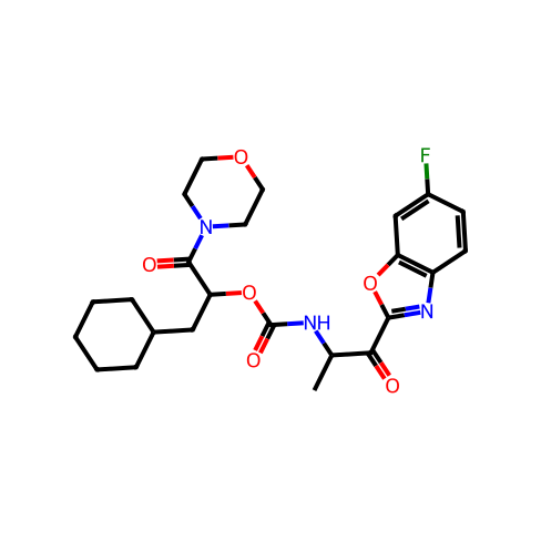 CC(NC(=O)OC(CC1CCCCC1)C(=O)N1CCOCC1)C(=O)c1nc2ccc(F)cc2o1